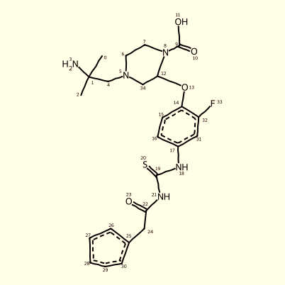 CC(C)(N)CN1CCN(C(=O)O)C(Oc2ccc(NC(=S)NC(=O)Cc3ccccc3)cc2F)C1